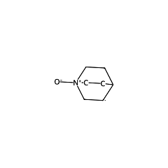 [O-][N+]12C[CH]C(CC1)CC2